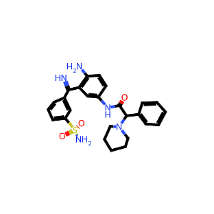 N=C(c1cccc(S(N)(=O)=O)c1)c1cc(NC(=O)C(c2ccccc2)N2CCCCC2)ccc1N